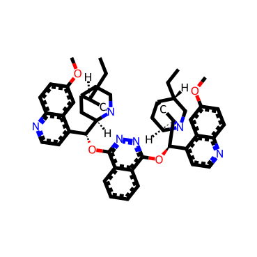 CC[C@@H]1CN2CCC1C[C@@H]2[C@H](Oc1nnc(O[C@H](c2ccnc3ccc(OC)cc23)[C@H]2CC3CCN2C[C@@H]3CC)c2ccccc12)c1ccnc2ccc(OC)cc12